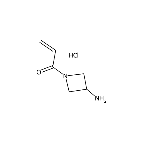 C=CC(=O)N1CC(N)C1.Cl